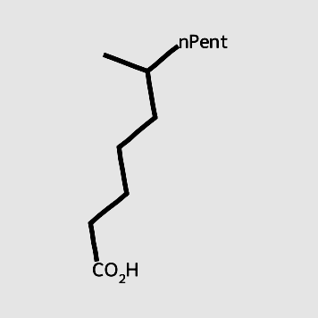 CCCCCC(C)CCCCC(=O)O